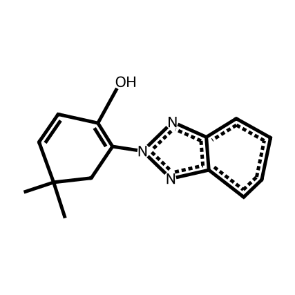 CC1(C)C=CC(O)=C(n2nc3ccccc3n2)C1